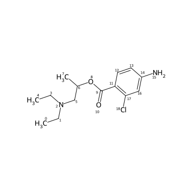 CCN(CC)CC(C)OC(=O)c1ccc(N)cc1Cl